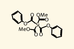 COC(=O)[Si](C(=O)OC)(C(=O)Oc1ccccc1)C(=O)Oc1ccccc1